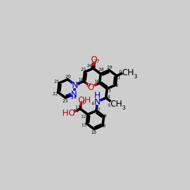 Cc1cc(C(C)Nc2ccccc2C(O)O)c2oc(N3CC=CC=N3)cc(=O)c2c1